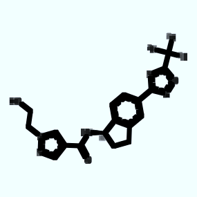 [2H]C([2H])([2H])c1nc(-c2ccc3c(c2)CC[C@H]3NC(=O)c2cnn(CCO)c2)no1